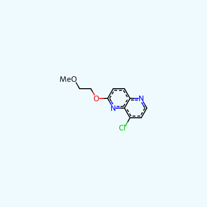 COCCOc1ccc2nccc(Cl)c2n1